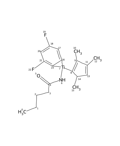 CCCCC(=O)[NH][Ti]1([C]2=C(C)C(C)=CC2C)[c]2cc(F)cc(F)[c]21